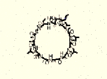 C/C=C/C[C@@H](C)[C@@H](O)[C@H]1C(=O)N[C@@H](CC)C(=O)N(C)CC(=O)N(C)[C@H](C)C(=O)N[C@@H](CC(C)C)C(=O)N[C@@H](C)C(=O)N[C@@H](C)C(=O)N[C@H](C)C(=O)N(C)[C@@H](CC(C)C)C(=O)N(C)[C@H](CC(C)C)C(=O)N(C)[C@@H](C(C)C)C(=O)N1C